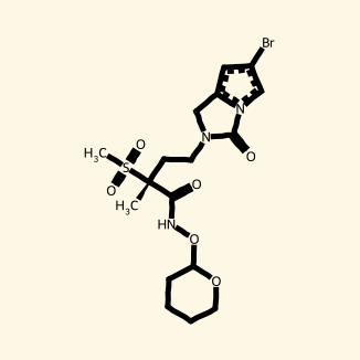 C[C@@](CCN1Cc2cc(Br)cn2C1=O)(C(=O)NOC1CCCCO1)S(C)(=O)=O